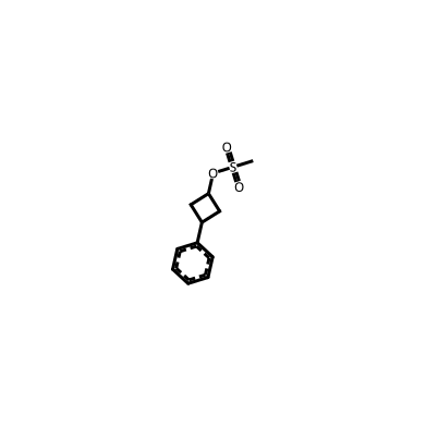 CS(=O)(=O)OC1CC(c2ccccc2)C1